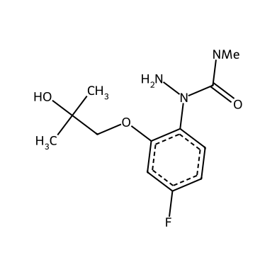 CNC(=O)N(N)c1ccc(F)cc1OCC(C)(C)O